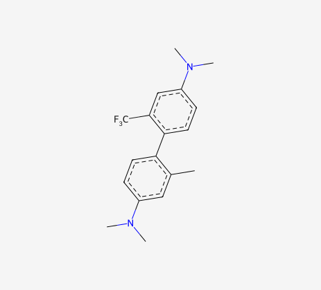 Cc1cc(N(C)C)ccc1-c1ccc(N(C)C)cc1C(F)(F)F